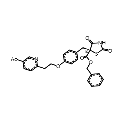 CC(=O)c1ccc(CCOc2ccc(C[C@]3(C(=O)OCc4ccccc4)SC(=O)NC3=O)cc2)nc1